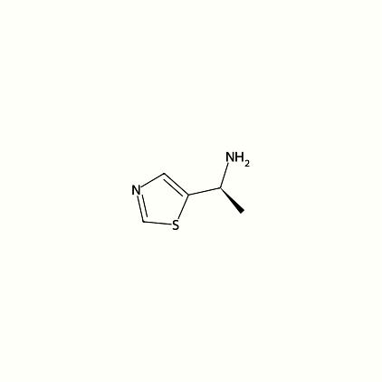 C[C@H](N)c1cncs1